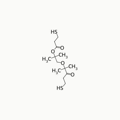 CC(C)(COC(C)(C)C(=O)CCS)OC(=O)CCS